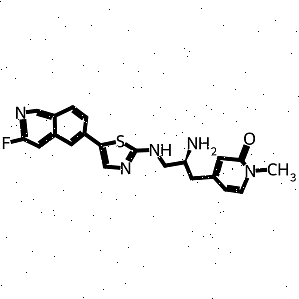 Cn1ccc(C[C@H](N)CNc2ncc(-c3ccc4cnc(F)cc4c3)s2)cc1=O